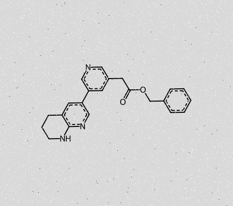 O=C(Cc1cncc(-c2cnc3c(c2)CCCN3)c1)OCc1ccccc1